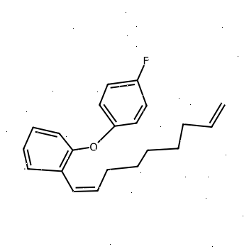 C=CCCCCC/C=C\c1[c]cccc1Oc1ccc(F)cc1